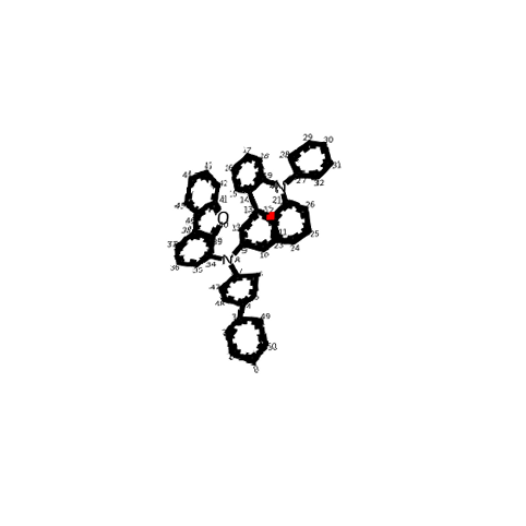 c1ccc(-c2ccc(N(c3cccc(-c4ccccc4N(c4ccccc4)c4ccccc4)c3)c3cccc4c3oc3ccccc34)cc2)cc1